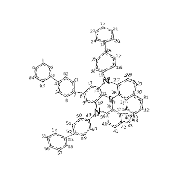 c1ccc(-c2ccc(-c3cc4c5c(c3)N(c3ccc(-c6ccccc6)cc3)c3ccc6ccccc6c3B5c3c(ccc5ccccc35)N4c3ccc(-c4ccccc4)cc3)cc2)cc1